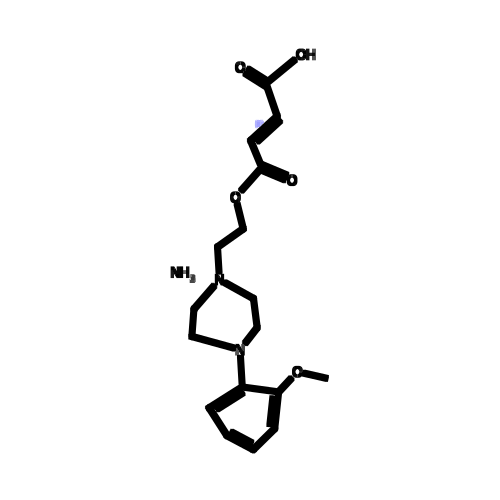 COc1ccccc1N1CCN(CCOC(=O)/C=C/C(=O)O)CC1.N